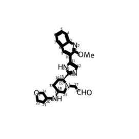 COc1nc2ccccc2cc1-c1cnc([C@@H]2CC[C@H](NC3CCOC3)CN2CC=O)[nH]1